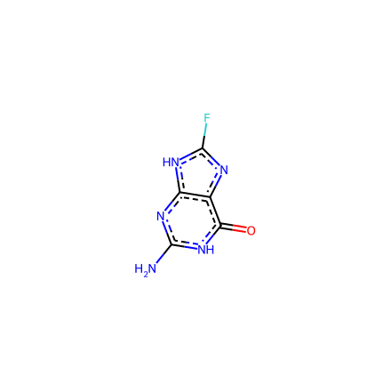 Nc1nc2[nH]c(F)nc2c(=O)[nH]1